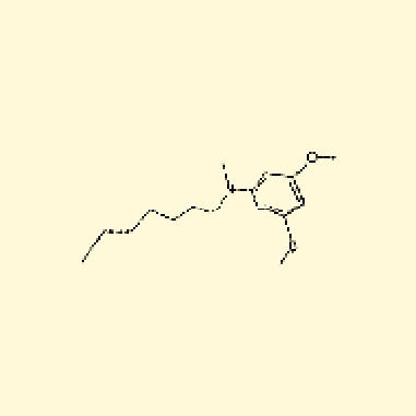 CCCCCCCN(C)c1cc(OC)cc(OC)c1